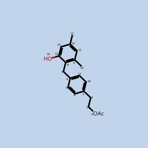 CC(=O)OCCc1ccc(Cc2c(C)cc(C)cc2O)cc1